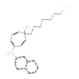 CCCCCCCCC1(C)C=CC=C(Nc2ccc3ccccc3c2)C=C1